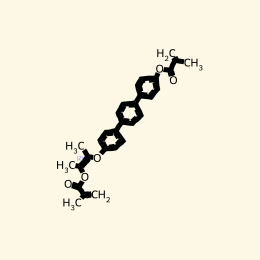 C=C(C)C(=O)O/C(C)=C(/C)Oc1ccc(-c2ccc(-c3ccc(OC(=O)C(=C)C)cc3)cc2)cc1